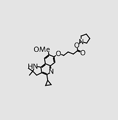 COc1cc2c3c(c(C4CC4)nc2cc1OCCCC(=O)ON1CCCC1)CC(C)(C)N3